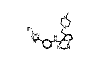 CC(C)n1nnc(-c2cccc(Nc3ncnn4ccc(CN5CCN(C)CC5)c34)c2)n1